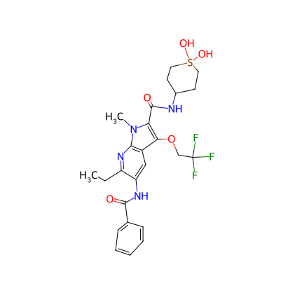 CCc1nc2c(cc1NC(=O)c1ccccc1)c(OCC(F)(F)F)c(C(=O)NC1CCS(O)(O)CC1)n2C